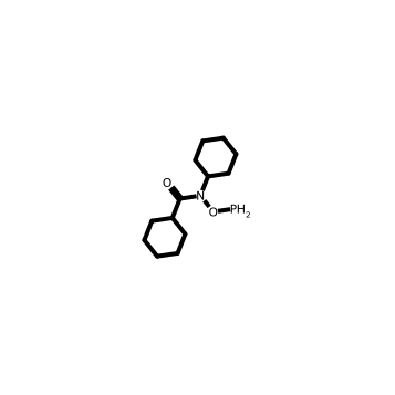 O=C(C1CCCCC1)N(OP)C1CCCCC1